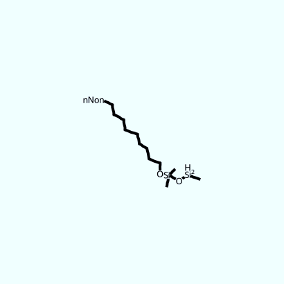 CCCCCCCCCCCCCCCCCCO[Si](C)(C)O[SiH2]C